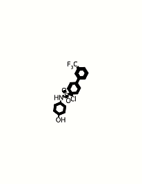 O=S(=O)(N[C@H]1CC[C@H](O)CC1)C1(Cl)C=CC(c2cccc(C(F)(F)F)c2)=CC1